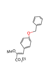 CCOC(=O)C(=Cc1ccc(OCc2ccccc2)cc1)OC